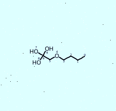 CCCCOCC(O)(O)O